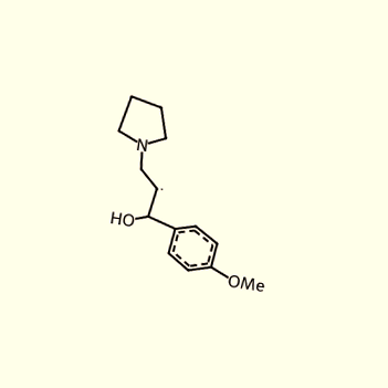 COc1ccc(C(O)[CH]CN2CCCC2)cc1